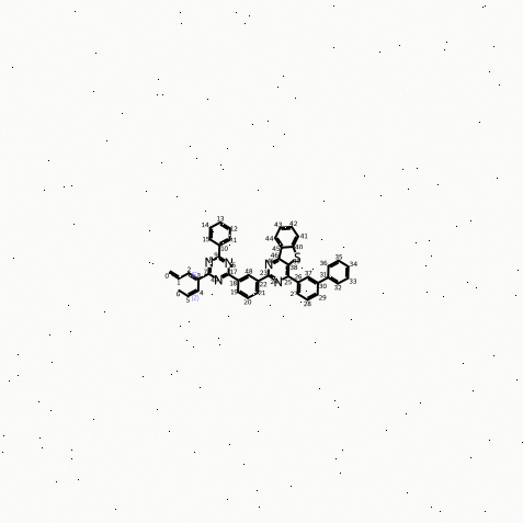 C=C/C=C(\C=C/C)c1nc(-c2ccccc2)nc(-c2cccc(-c3nc(-c4cccc(-c5ccccc5)c4)c4sc5ccccc5c4n3)c2)n1